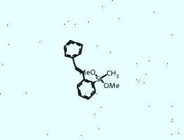 CO[Si](C)(OC)c1ccccc1C=Cc1ccccc1